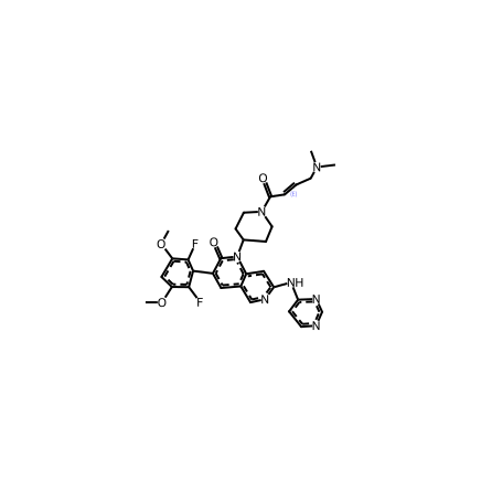 COc1cc(OC)c(F)c(-c2cc3cnc(Nc4ccncn4)cc3n(C3CCN(C(=O)/C=C/CN(C)C)CC3)c2=O)c1F